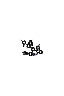 Cc1ccc(-c2ccc(-c3ccc4c(c3)-c3cc(C(C)(C)C)cc[n+]3/C=C/CC3c5ccccc5-c5cc(C)cc[n+]5C43)c3ncncc23)c(C)c1